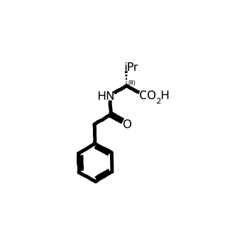 CC(C)[C@@H](NC(=O)Cc1ccccc1)C(=O)O